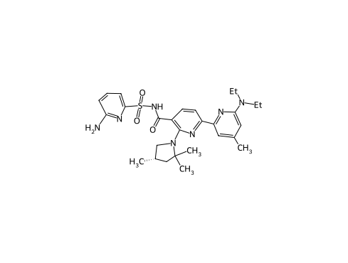 CCN(CC)c1cc(C)cc(-c2ccc(C(=O)NS(=O)(=O)c3cccc(N)n3)c(N3C[C@@H](C)CC3(C)C)n2)n1